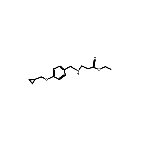 CCOC(=O)CCNCc1ccc(OCC2CC2)cc1